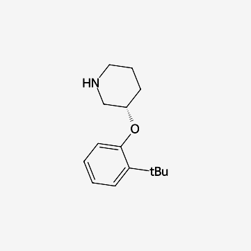 CC(C)(C)c1ccccc1O[C@H]1CCCNC1